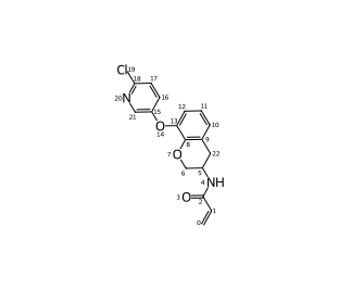 C=CC(=O)NC1COc2c(cccc2Oc2ccc(Cl)nc2)C1